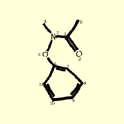 CC(=O)N(C)Oc1ccccc1